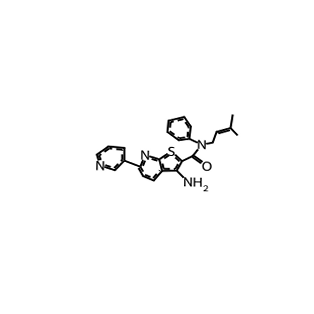 CC(C)=CCN(C(=O)c1sc2nc(-c3cccnc3)ccc2c1N)c1ccccc1